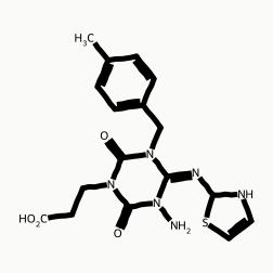 Cc1ccc(Cn2c(=O)n(CCC(=O)O)c(=O)n(N)/c2=N\C2NC=CS2)cc1